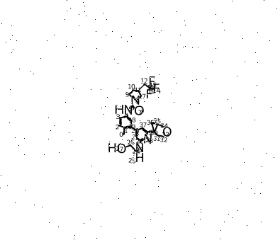 Cc1ccc(NC(=O)N2CC[C@@H](CC(F)(F)F)C2)cc1-c1cc(N[C@H](C)CO)nc(C23CCOCC2C3)c1